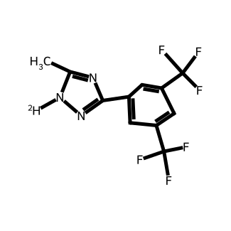 [2H]n1nc(-c2cc(C(F)(F)F)cc(C(F)(F)F)c2)nc1C